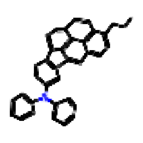 CCCc1ccc2cc3c4c(ccc5ccc1c2c54)-c1ccc(N(c2ccccc2)c2ccccc2)cc1-3